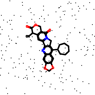 O=NC1C(=O)OCc2c1cc1n(c2=O)Cc2c-1nc1cc3c(cc1c2C1CCCCCC1)OCO3